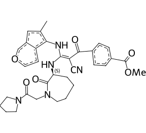 COC(=O)c1ccc(C(=O)C(C#N)=C(Nc2c(C)cc3coccc2-3)N[C@H]2CCCCN(CC(=O)N3CCCC3)C2=O)cc1